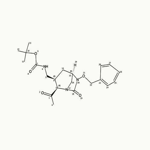 CC(=O)[C@H]1[C@@H](CNC(=O)OC(C)(C)C)C[C@@H]2CN1C(=O)N2OCc1ccccc1